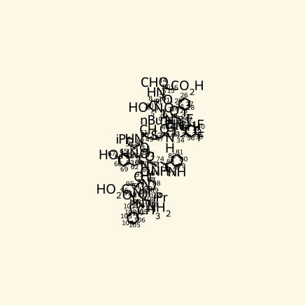 CCCC[C@@H](C(=O)N1C[C@H](O)C[C@@H]1C(=O)N[C@H](C=O)CC(=O)O)N(C)C(=O)[C@H](Cc1ccccc1)N(C)C(=O)[C@H](Cc1cc(F)c(F)c(F)c1)NC(=O)CSC[C@@H](C)NC(=O)[C@H](CC(C)C)NC(=O)[C@H](Cc1ccc(O)cc1)NC(=O)[C@H](Cc1c[nH]c2ccccc12)NC(=O)[C@H]1CCCN1C(=O)[C@H](CC(=O)O)NC(=O)[C@H](Cc1ccccc1)N(C)C(=O)[C@@H](N)C(C)C